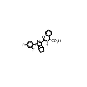 O=C(N[C@H](C(=O)O)c1ccccc1)c1nn(-c2ccc(F)cc2F)c2c1C1CCC2C1